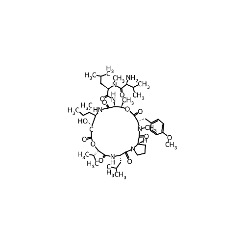 CC[C@H](C)[C@H]1NC(=O)[C@@H](NC(=O)[C@@H](CC(C)C)N(C)C(=O)[C@@H](N)C(C)C)[C@@H](C)OC(=O)[C@H](Cc2ccc(OC)cc2)N(C)C(=O)[C@@H]2CCCN2C(=O)[C@H](CC(C)C)NC(=O)[C@H](C(C)C)OC(=O)C[C@@H]1O